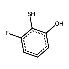 Oc1cccc(F)c1S